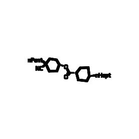 CCCCCCC[C@H]1CC[C@H](C(=O)O[C@H]2CC[C@@](C#N)(CCCCC)CC2)CC1